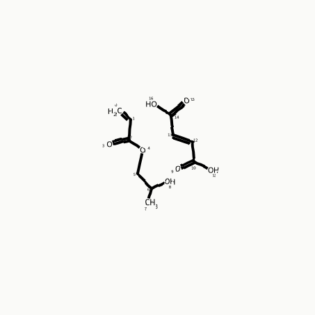 C=CC(=O)OCC(C)O.O=C(O)C=CC(=O)O